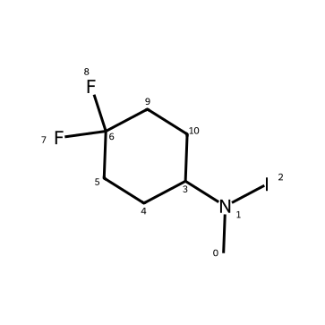 CN(I)C1CCC(F)(F)CC1